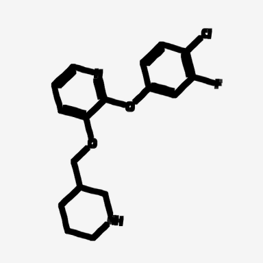 Fc1cc(Oc2ncccc2OCC2CCCNC2)ccc1Cl